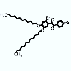 CCCCCCCCCCCCOc1cc(Br)c(C(=O)C(=O)c2ccc(Br)cc2)cc1OCCCCCCCCCCCC